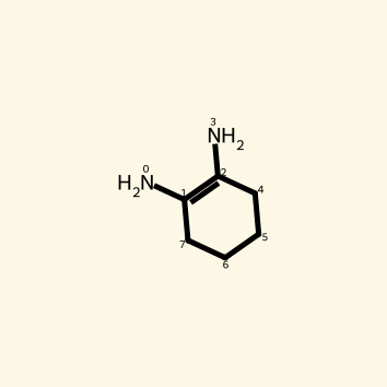 NC1=C(N)CCCC1